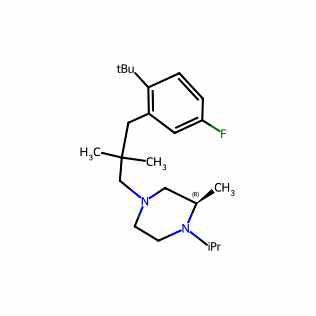 CC(C)N1CCN(CC(C)(C)Cc2cc(F)ccc2C(C)(C)C)C[C@H]1C